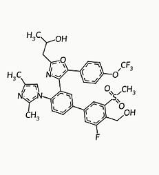 Cc1cn(-c2ccc(-c3cc(F)c(CO)c(S(C)(=O)=O)c3)cc2-c2nc(CC(C)O)oc2-c2ccc(OC(F)(F)F)cc2)c(C)n1